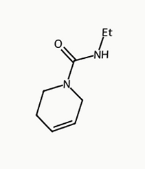 CCNC(=O)N1CC=CCC1